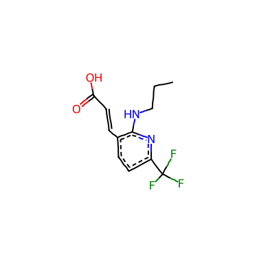 CCCNc1nc(C(F)(F)F)ccc1C=CC(=O)O